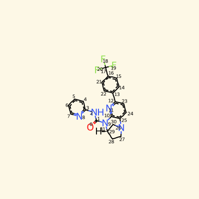 O=C(Nc1ccccn1)N1c2nc(-c3ccc(C(F)(F)F)cc3)ccc2N2CC[C@H]1C2